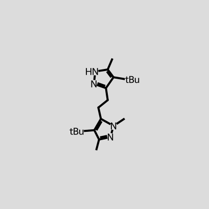 Cc1nn(C)c(CCc2n[nH]c(C)c2C(C)(C)C)c1C(C)(C)C